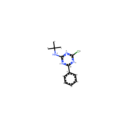 CC(C)(C)Nc1nc(Cl)nc(-c2ccccc2)n1